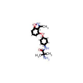 Cc1noc2cccc(Oc3ccc(NC(=O)C(C)(C)N)cc3)c12